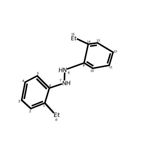 CCc1ccccc1NNc1ccccc1CC